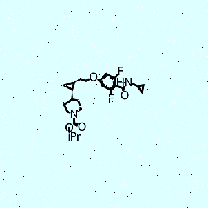 CC(C)OC(=O)N1CCC([C@H]2C[C@H]2CCOc2cc(F)c(C(=O)NC3CC3)c(F)c2)CC1